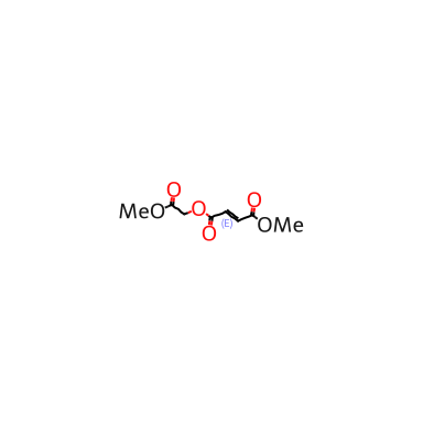 COC(=O)/C=C/C(=O)OCC(=O)OC